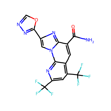 NC(=O)c1cc2c(C(F)(F)F)cc(C(F)(F)F)nc2n2cc(-c3nnco3)nc12